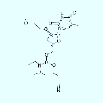 COCCO[C@@H]1C[C@@H](COP(OCCC#N)N(C(C)C)C(C)C)O[C@H]1n1cc(C)c(=O)[nH]c1=O